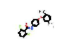 Cc1ccc(C(F)(F)F)cc1Oc1ccc(NC(=O)c2c(F)cccc2F)cc1